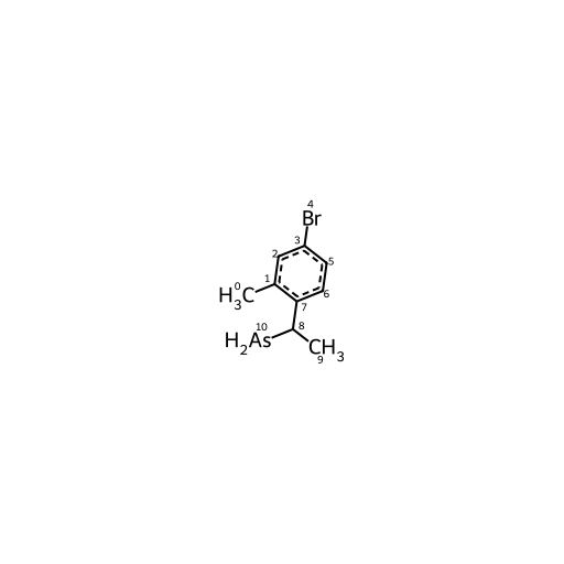 Cc1cc(Br)ccc1C(C)[AsH2]